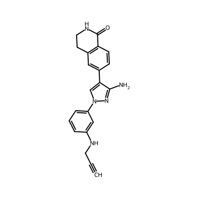 C#CCNc1cccc(-n2cc(-c3ccc4c(c3)CCNC4=O)c(N)n2)c1